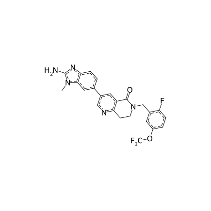 Cn1c(N)nc2ccc(-c3cnc4c(c3)C(=O)N(Cc3cc(OC(F)(F)F)ccc3F)CC4)cc21